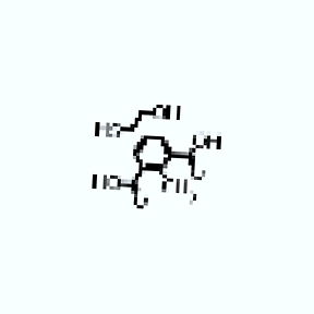 Cc1c(C(=O)O)cccc1C(=O)O.OCCS